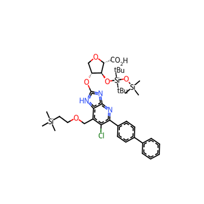 CC(C)(C)[Si](O[C@@H]1[C@@H](C(=O)O)OC[C@H]1Oc1nc2nc(-c3ccc(-c4ccccc4)cc3)c(Cl)c(COCC[Si](C)(C)C)c2[nH]1)(O[Si](C)(C)C)C(C)(C)C